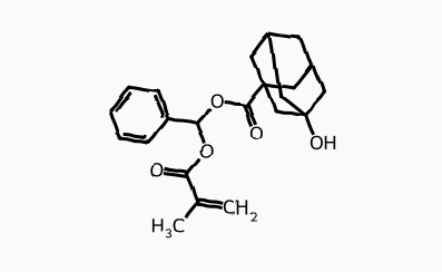 C=C(C)C(=O)OC(OC(=O)C12CC3CC(CC(O)(C3)C1)C2)c1ccccc1